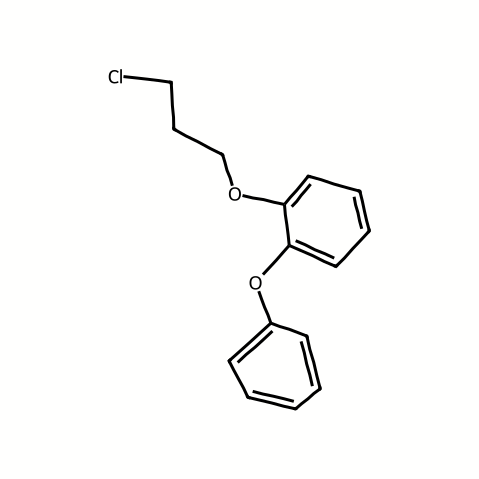 ClCCCOc1ccccc1Oc1ccccc1